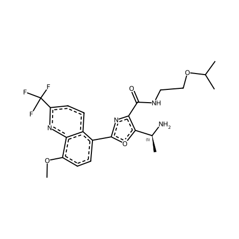 COc1ccc(-c2nc(C(=O)NCCOC(C)C)c([C@H](C)N)o2)c2ccc(C(F)(F)F)nc12